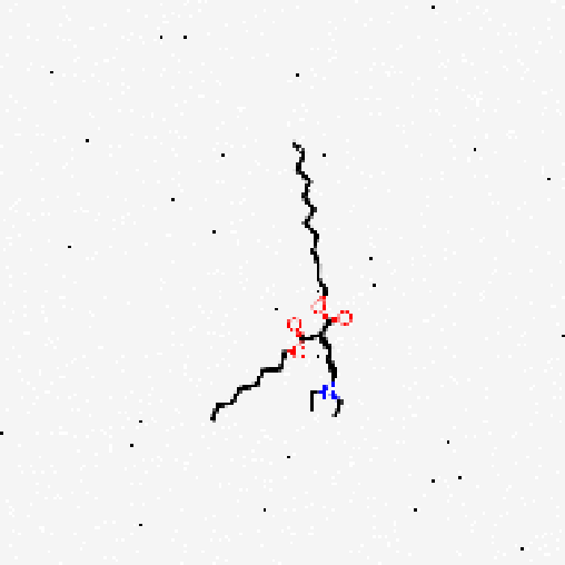 CCCCCCCCCCCCOC(=O)C(=CC=CN(CC)CC)C(=O)OCCCCCCCC